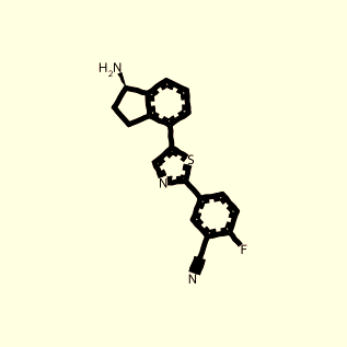 N#Cc1cc(-c2ncc(-c3cccc4c3CC[C@H]4N)s2)ccc1F